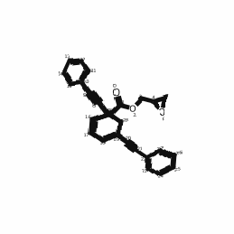 O=C(OCC1CO1)C1(C#Cc2ccccc2)C=CC=C(C#Cc2ccccc2)C1